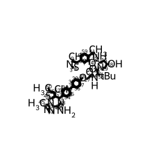 Cc1ncsc1-c1ccc([C@H](C)NC(=O)[C@@H]2C[C@@H](O)CN2C(=O)C(NC(=O)COc2ccc(-c3ccc(C4=NC(N)c5nnc(C)n5-c5sc(C)c(C)c54)cc3)cc2)C(C)(C)C)cc1